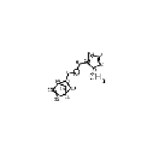 CC1C=CN=C1COCC1CC2C=CC1C2